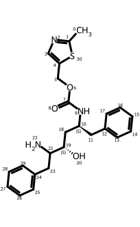 Cc1ncc(COC(=O)N[C@@H](Cc2ccccc2)C[C@H](O)C(N)Cc2ccccc2)s1